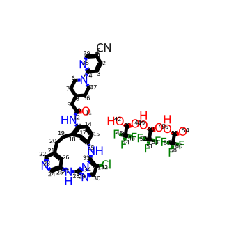 N#Cc1ccc(N2CCC(CC(=O)Nc3ccc4cc3CCc3cncc(c3)Nc3ncc(Cl)c(n3)N4)CC2)nc1.O=C(O)C(F)(F)F.O=C(O)C(F)(F)F.O=C(O)C(F)(F)F